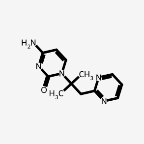 CC(C)(Cc1ncccn1)n1ccc(N)nc1=O